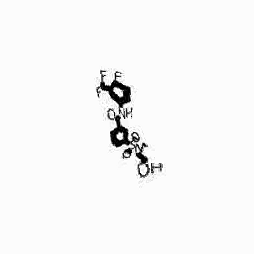 CN(CCO)S(=O)(=O)c1cccc(C(=O)Nc2ccc(F)c(C(F)F)c2)c1